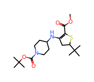 COC(=O)C1=C(NC2CCN(C(=O)OC(C)(C)C)CC2)CC(C(C)(C)C)S1